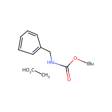 CC(=O)O.CC(C)(C)OC(=O)NCc1ccccc1